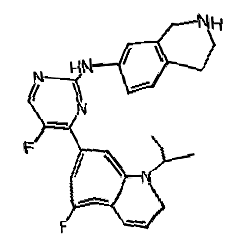 CC(C)N1CC=Cc2c(F)cc(-c3nc(Nc4ccc5c(c4)CNCC5)ncc3F)cc21